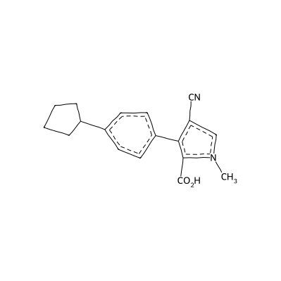 Cn1cc(C#N)c(-c2ccc(C3CCCC3)cc2)c1C(=O)O